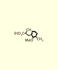 CCOC(=O)C(C)Cc1cccc(C)c1OC